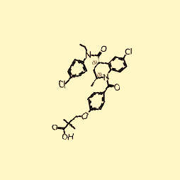 CCN(C(=O)[C@H]1C[C@H](C)N(C(=O)c2ccc(OCC(C)(C)C(=O)O)cc2)c2ccc(Cl)cc21)c1ccc(Cl)cc1